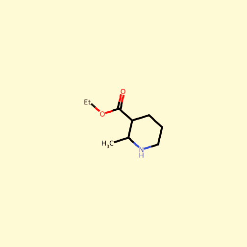 CCOC(=O)C1CCCNC1C